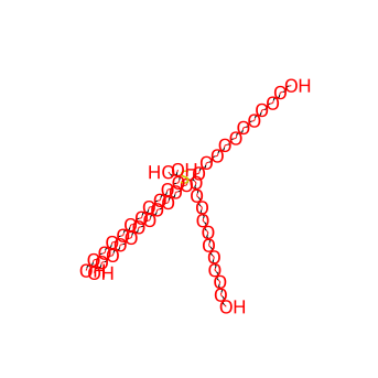 OCCOCCOCCOCCOCCOCCOCCOCCOCCOCCOCC(OCCOCCOCCOCCOCCOCCOCCOCCOCCOCCO)C(OCCOCCOCCOCCOCCOCCOCCOCCOCCOCCO)SC(OCCOCCOCCOCCOCCOCCOCCOCCOCCOCCO)C(O)CO